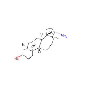 C[C@]12CC[C@H]3[C@@H](CC[C@@H]4C[C@H](O)CC[C@@H]43)[C@@H]1CC[C@@H]2N